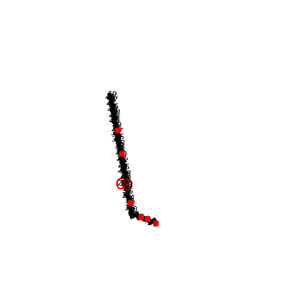 CCCCCCCC/C=C\CCCCCCCCOC(=O)CCCCCCCCCCCCCCCCCCCCCCCCCCCCC